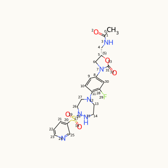 CC(=O)NC[C@H]1CN(c2ccc(N3CCNN(S(=O)(=O)c4cccnc4)CC3)c(F)c2)C(=O)O1